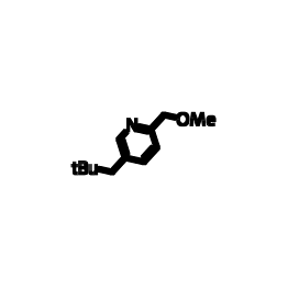 COCc1ccc(CC(C)(C)C)cn1